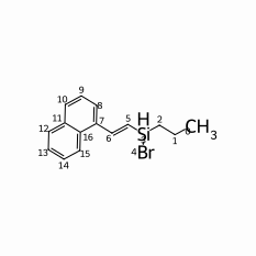 CCC[SiH](Br)C=Cc1cccc2ccccc12